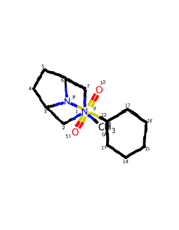 CN1CC2CCC(C1)N2S(=O)(=O)C1CCCCC1